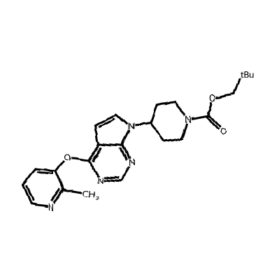 Cc1ncccc1Oc1ncnc2c1ccn2C1CCN(C(=O)OCC(C)(C)C)CC1